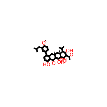 COc1ccc(-c2ccc(O)c3c2C[C@]2(C)C[C@]4(C)C(C(C)C)C(O)=C(C(C)=O)C(=O)[C@]4(O)C(O)=C2C3=O)cc1CC(C)C